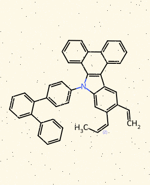 C=Cc1cc2c3c4ccccc4c4ccccc4c3n(-c3ccc(-c4ccccc4-c4ccccc4)cc3)c2cc1/C=C\C